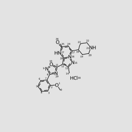 COc1ccccc1-c1noc(-c2c(C)nn3c(C4CCNCC4)cc(=O)[nH]c23)n1.Cl